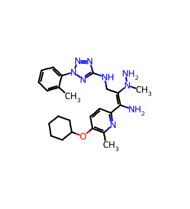 Cc1ccccc1-n1nnc(NC/C(=C(/N)c2ccc(OC3CCCCC3)c(C)n2)N(C)N)n1